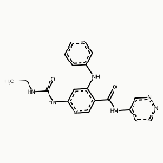 CCNC(=O)Nc1cc(Nc2ccccc2)c(C(=O)Nc2ccnnc2)cn1